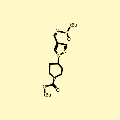 CC(C)(C)OC(=O)N1CCC(n2cc(/C=N\[S+]([O-])C(C)(C)C)cn2)CC1